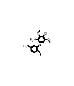 COc1ccc(N)c(OC)c1Cl.COc1ccc(N)cc1Br